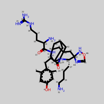 Cc1cc(O)cc(C)c1CC(NC(=O)C(N)CCCNC(=N)N)C(=O)N[C@@H](CCCCN)C1(CC23CC4CC(CC(C4)C2)C3)N=CON1